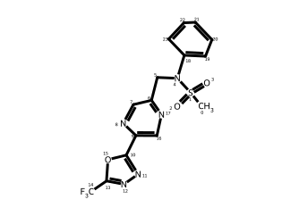 CS(=O)(=O)N(Cc1cnc(-c2nnc(C(F)(F)F)o2)cn1)c1ccccc1